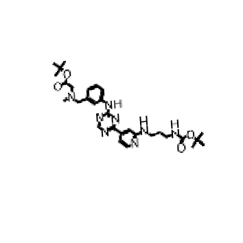 CN(CC(=O)OC(C)(C)C)Cc1cccc(Nc2ncnc(-c3ccnc(NCCCNC(=O)OC(C)(C)C)c3)n2)c1